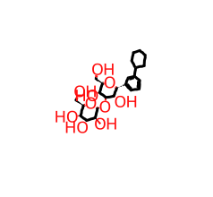 OC[C@H]1O[C@H](O[C@@H]2[C@H](O)[C@@H](c3cccc(C4CCCCC4)c3)O[C@H](CO)[C@H]2O)[C@@H](O)[C@@H](O)[C@@H]1O